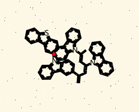 C=C(/C=C(\C=C(/C)n1c2ccccc2c2ccccc21)n1c2ccccc2c2ccccc21)c1ccc2c(c1)c1ccccc1n2-c1ccc2sc3ccccc3c2c1